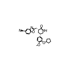 COc1ccc([C@H]2CNC(=O)[C@@H](Cc3nc4cc(C#N)ccc4o3)C2)cc1OC1CCCC1